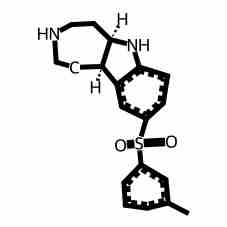 Cc1cccc(S(=O)(=O)c2ccc3c(c2)[C@H]2CCNCC[C@H]2N3)c1